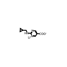 O=C([O-])c1cnc(NCC2CC2)nc1.[Li+]